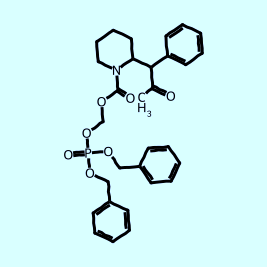 CC(=O)C(c1ccccc1)C1CCCCN1C(=O)OCOP(=O)(OCc1ccccc1)OCc1ccccc1